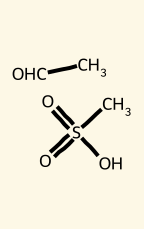 CC=O.CS(=O)(=O)O